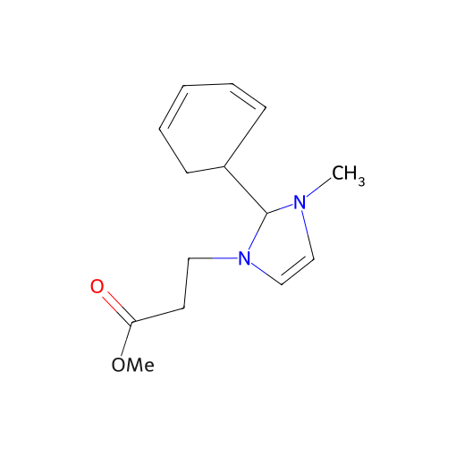 COC(=O)CCN1C=CN(C)C1C1C=CC=CC1